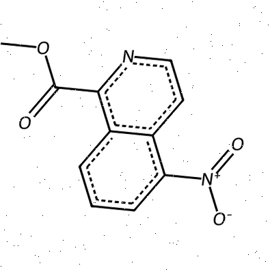 COC(=O)c1nccc2c([N+](=O)[O-])cccc12